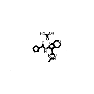 Cc1noc(-c2c(NC(=O)C3=CCCC3)sc3c2CCOC3)n1.O=C(O)O